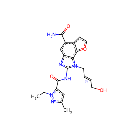 CCn1nc(C)cc1C(=O)Nc1nc2cc(C(N)=O)c3ccoc3c2n1C/C=C/CO